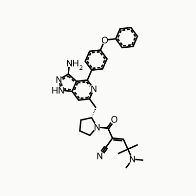 CN(C)C(C)(C)C=C(C#N)C(=O)N1CCC[C@@H]1Cc1cc2[nH]nc(N)c2c(-c2ccc(Oc3ccccc3)cc2)n1